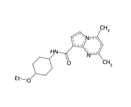 CCOC1CCC(NC(=O)c2ccn3c(C)cc(C)nc23)CC1